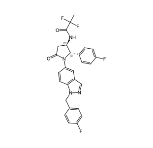 CC(F)(F)C(=O)N[C@@H]1CC(=O)N(c2ccc3c(cnn3Cc3ccc(F)cc3)c2)[C@H]1c1ccc(F)cc1